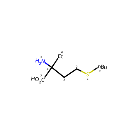 CCCCSCCC(N)(CC)C(=O)O